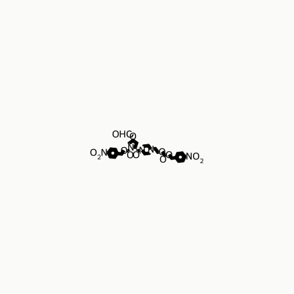 O=CO[C@H]1C[C@H](C(=O)N2CCN(CCOC(=O)OCc3ccc([N+](=O)[O-])cc3)CC2)N(C(=O)OCc2ccc([N+](=O)[O-])cc2)C1